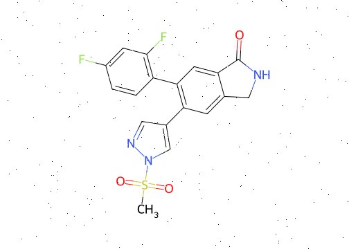 CS(=O)(=O)n1cc(-c2cc3c(cc2-c2ccc(F)cc2F)C(=O)NC3)cn1